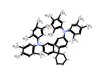 Cc1cc(C)c(N(c2ccc(C3(c4ccc(N(c5cc(C)c(C)cc5C)c5cc(C)c(C)cc5C)cc4)CCCCC3)cc2)c2cc(C)c(C)cc2C)cc1C